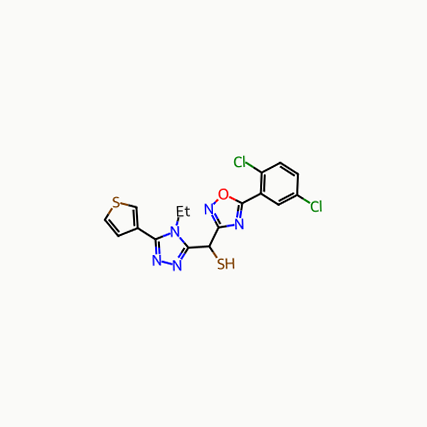 CCn1c(-c2ccsc2)nnc1C(S)c1noc(-c2cc(Cl)ccc2Cl)n1